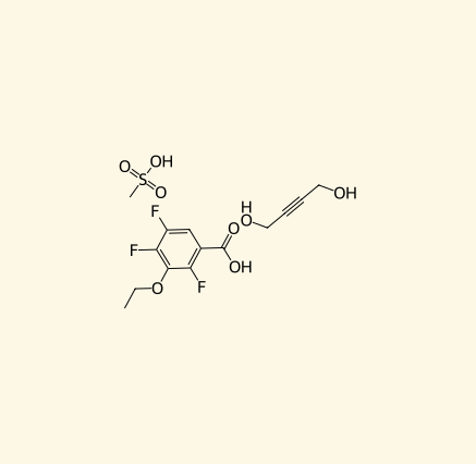 CCOc1c(F)c(F)cc(C(=O)O)c1F.CS(=O)(=O)O.OCC#CCO